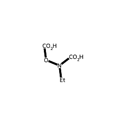 CCN(OC(=O)O)C(=O)O